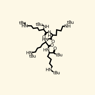 CC(C)(C)NCCCCC(NC(=O)C(CCCCNC(C)(C)C)NC(C)(C)C)C(=O)NC(CCCCNC(C)(C)C)C(=O)NC(CCCCNC(C)(C)C)C(=O)C(C)(C)C